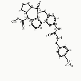 COc1ccc(CNC(=O)Nc2ccc(CN3C(=O)C4CCCC4N(C(=O)CCl)c4ccccc43)cc2)cc1